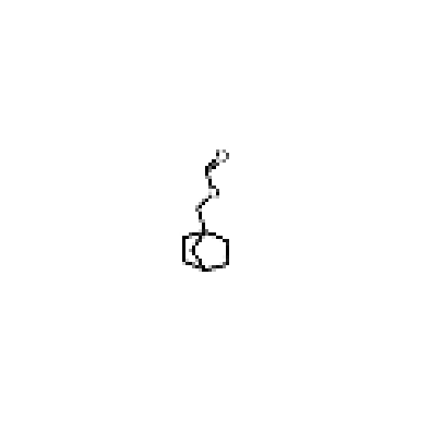 O=COCC12CCC(CC1)C2